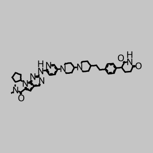 CN(C)C(=O)c1cc2cnc(Nc3ccc(N4CCC(N5CCC(CCc6ccc(C7CCC(=O)NC7=O)cc6)CC5)CC4)cn3)nc2n1C1CCCC1